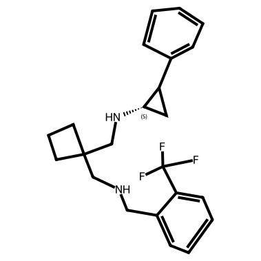 FC(F)(F)c1ccccc1CNCC1(CN[C@H]2CC2c2ccccc2)CCC1